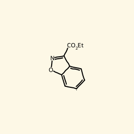 CCOC(=O)c1noc2c[c]ccc12